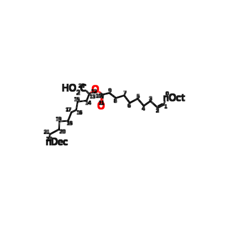 CCCCCCCC/C=C\CCCCCCCC(=O)OC(CCCCCCCCCCCCCCCCCC)C(=O)O